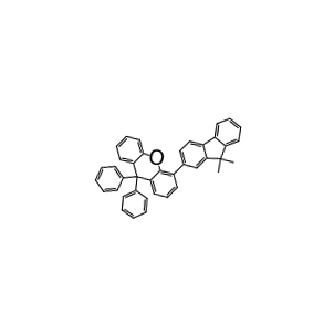 CC1(C)c2ccccc2-c2ccc(-c3cccc4c3Oc3ccccc3C4(c3ccccc3)c3ccccc3)cc21